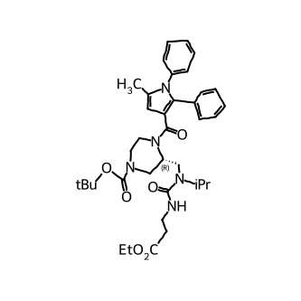 CCOC(=O)CCNC(=O)N(C[C@@H]1CN(C(=O)OC(C)(C)C)CCN1C(=O)c1cc(C)n(-c2ccccc2)c1-c1ccccc1)C(C)C